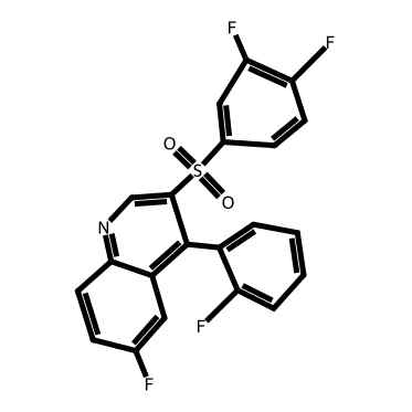 O=S(=O)(c1ccc(F)c(F)c1)c1cnc2ccc(F)cc2c1-c1ccccc1F